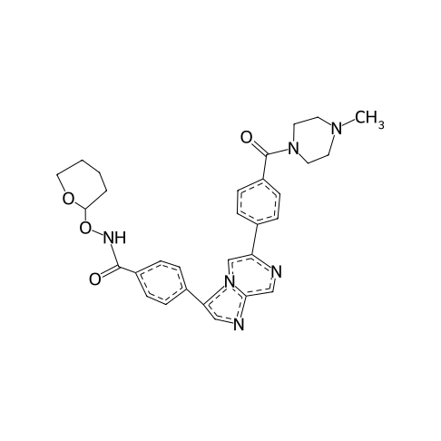 CN1CCN(C(=O)c2ccc(-c3cn4c(-c5ccc(C(=O)NOC6CCCCO6)cc5)cnc4cn3)cc2)CC1